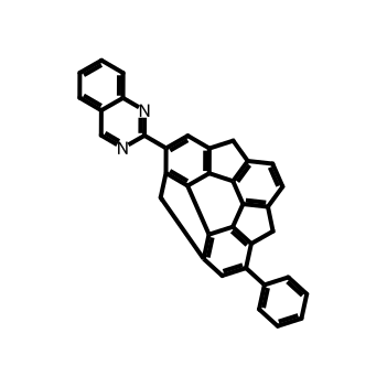 c1ccc(-c2cc3c4c5c2Cc2ccc6c(c25)c2c(cc(-c5ncc7ccccc7n5)c(c24)C3)C6)cc1